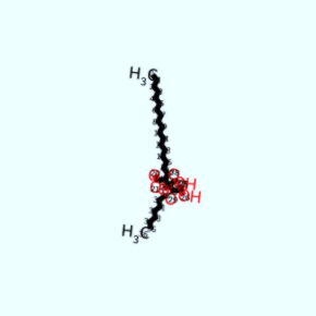 CCCCCCCCCCCCCCCCCCC(C(=O)O)C(CC(=O)O)(OC(=O)CCCCCCC)C(=O)O